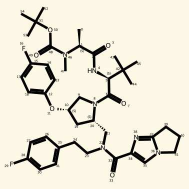 C[C@@H](C(=O)N[C@H](C(=O)N1C[C@@H](Oc2ccc(F)cc2)C[C@H]1CN(CCc1ccc(F)cc1)C(=O)c1cn2c(n1)CCC2)C(C)(C)C)N(C)C(=O)OC(C)(C)C